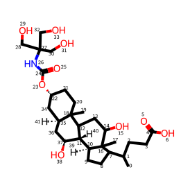 CC(CCC(=O)O)C1CC[C@H]2[C@H]3C(CC(O)C12C)C1(C)CC[C@@H](OC(=O)NC(CO)(CO)CO)C[C@@H]1C[C@@H]3O